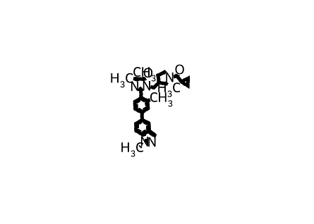 Cc1cc(-c2ccc3c(cnn3C)c2)ccc1C1=NC(C)(C)C(=O)N1CC1CCN(C(=O)C2(C)CC2)C1